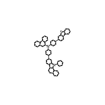 c1ccc(-n2c3cc(-c4ccc(N(c5ccc(-c6ccc7c(c6)sc6ccccc67)cc5)c5cc6ccccc6c6ccccc56)cc4)ccc3c3ccc4ccccc4c32)cc1